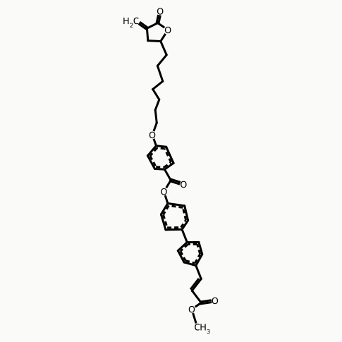 C=C1CC(CCCCCCCOc2ccc(C(=O)Oc3ccc(-c4ccc(/C=C/C(=O)OC)cc4)cc3)cc2)OC1=O